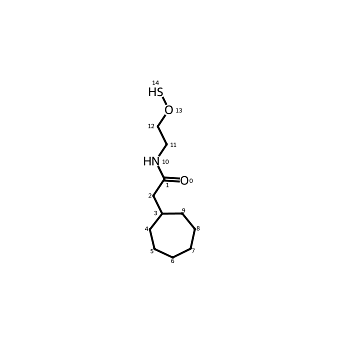 O=C(CC1CCCCCC1)NCCOS